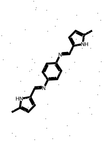 Cc1ccc(/C=N/c2ccc(/N=C/c3ccc(C)[nH]3)cc2)[nH]1